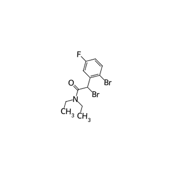 CCN(CC)C(=O)C(Br)c1cc(F)ccc1Br